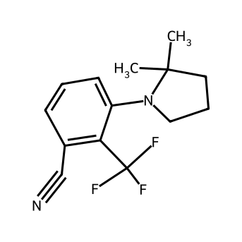 CC1(C)CCCN1c1cccc(C#N)c1C(F)(F)F